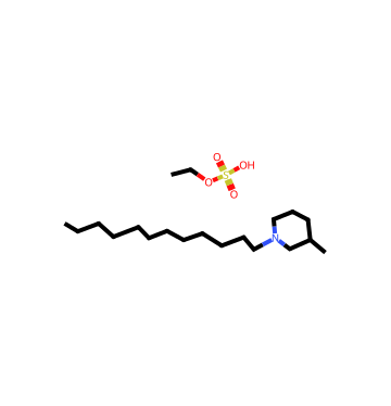 CCCCCCCCCCCCN1CCCC(C)C1.CCOS(=O)(=O)O